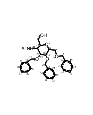 CC(=O)NC1C(CO)OC(COCc2ccccc2)[C@@H](OCc2ccccc2)[C@H]1OCc1ccccc1